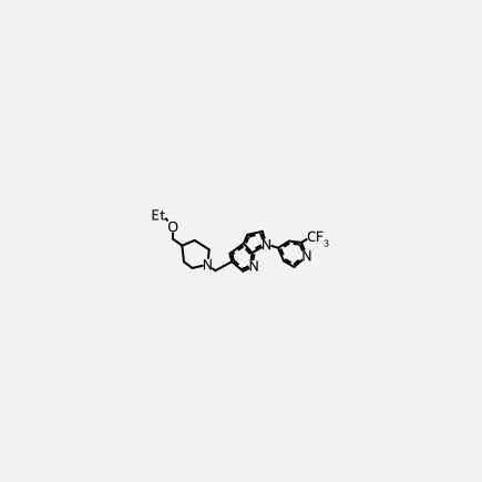 CCOCC1CCN(Cc2cnc3c(ccn3-c3ccnc(C(F)(F)F)c3)c2)CC1